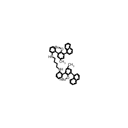 CCCCOc1c(-c2ccccc2NCCCCNc2ccccc2-c2cc(C)cc(-c3cccc4ccccc34)c2OCCCC)cc(C)cc1-c1cccc2ccccc12